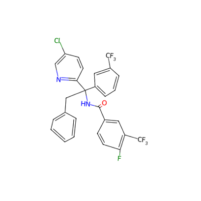 O=C(NC(Cc1ccccc1)(c1cccc(C(F)(F)F)c1)c1ccc(Cl)cn1)c1ccc(F)c(C(F)(F)F)c1